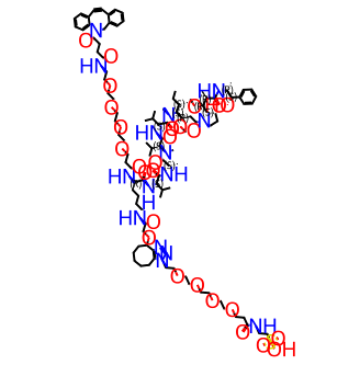 CC[C@H](C)[C@@H]([C@@H](CC(=O)N1CCC[C@H]1[C@H](OC)[C@@H](C)C(=O)N[C@H](C)[C@@H](O)c1ccccc1)OC)N(C)C(=O)[C@@H](NC(=O)[C@H](C(C)C)N(C)C(=O)[C@H](C)NC(=O)[C@@H](NC(=O)[C@@H](CCCCNC(=O)COC1CCCCCc2c1nnn2CCOCCOCCOCCOCCC(=O)NCCS(=O)(=O)O)NC(=O)CCOCCOCCOCCOCCNC(=O)CCC(=O)N1Cc2ccccc2C#Cc2ccccc21)C(C)C)C(C)C